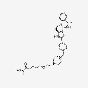 CC(Nc1ncnc2[nH]c(-c3ccc(CN4CCN(CCOCCCCC(=O)NO)CC4)cc3)cc12)c1ccccc1